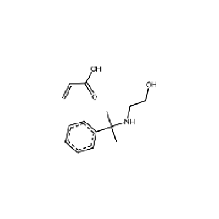 C=CC(=O)O.CC(C)(NCCO)c1ccccc1